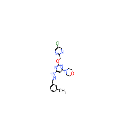 Cc1cccc(C=NNc2cc(N3CCOCC3)nc(OCc3ncc(Cl)cn3)n2)c1